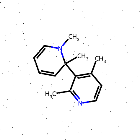 Cc1ccnc(C)c1C1(C)C=CC=CN1C